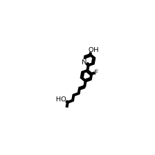 CC(O)CCCC=Cc1ccc(-c2ccc(O)cn2)c(F)c1